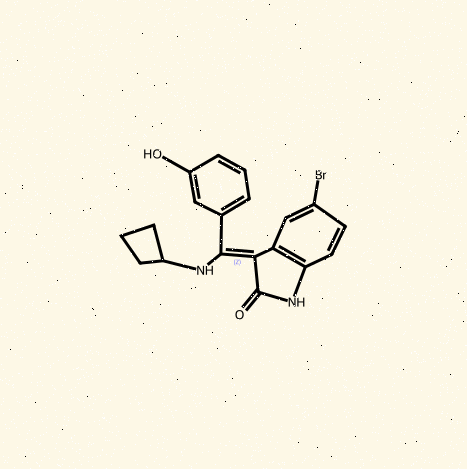 O=C1Nc2ccc(Br)cc2/C1=C(/NC1CCC1)c1cccc(O)c1